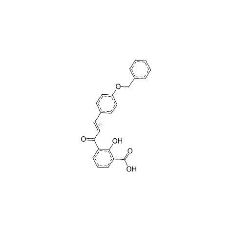 O=C(O)c1cccc(C(=O)/C=C/c2ccc(OCc3ccccc3)cc2)c1O